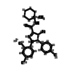 CCC1C(C(=O)N[N+]2(C)CCCCC2)=NN(c2ccc(Cl)cc2Cl)C1c1ccc(Cl)cc1.[I-]